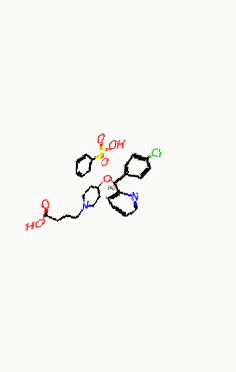 O=C(O)CCCN1CCC(O[C@@H](c2ccc(Cl)cc2)c2ccccn2)CC1.O=S(=O)(O)c1ccccc1